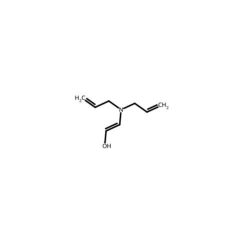 C=CCN(C=CO)CC=C